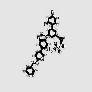 NS(=O)(=O)NC1CC1c1cc(-c2ccc(F)cc2F)cc(-n2cnc3cc(-c4ccc(OCc5ccccc5)nc4)ccc32)c1